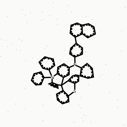 c1ccc(N(c2ccc(-c3cccc4ccccc34)cc2)c2ccc3c(c2)C2(c4ccccc4Sc4ccccc42)c2ccccc2[Si]3(c2ccccc2)c2ccccc2)cc1